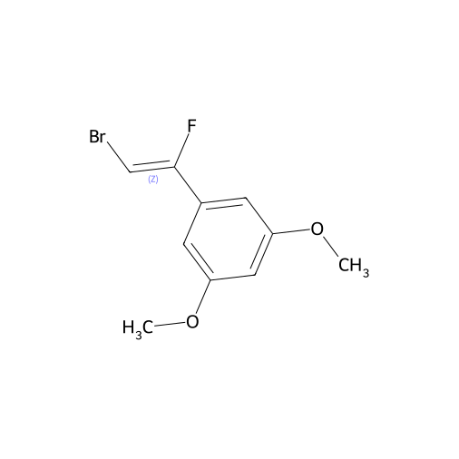 COc1cc(OC)cc(/C(F)=C/Br)c1